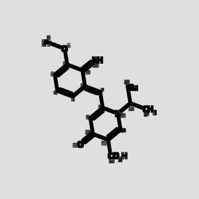 CC(C)OC1=CC=C/C(=C\c2cc(=O)c(C(=O)O)cn2C(C)C(C)(C)C)C1=N